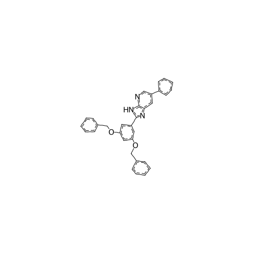 c1ccc(COc2cc(OCc3ccccc3)cc(-c3nc4cc(-c5ccccc5)cnc4[nH]3)c2)cc1